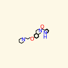 O=C(c1ccc[nH]1)N1CCc2cc(OCCCN3CCCCC3)ccc2C1